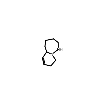 C1=CC2CCCCNN2CC1